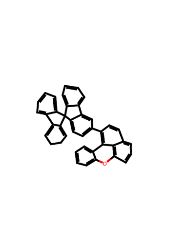 C1=C2C(=CCC1)C1(c3ccccc32)c2ccccc2-c2cc(-c3ccc4cccc5c4c3-c3ccccc3O5)ccc21